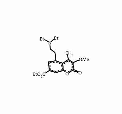 CCOC(=O)c1cc(CCN(CC)CC)c2c(C)c(OC)c(=O)oc2c1